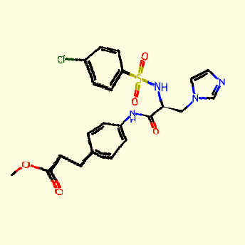 COC(=O)CCc1ccc(NC(=O)[C@H](Cn2ccnc2)NS(=O)(=O)c2ccc(Cl)cc2)cc1